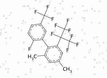 Cc1[c]c(C)c(-c2cc(C(F)(F)F)ccc2F)c(C(F)(C(F)(F)F)C(F)(F)F)c1